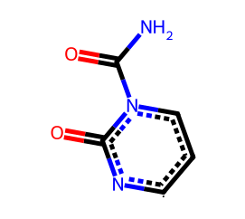 NC(=O)n1cc[c]nc1=O